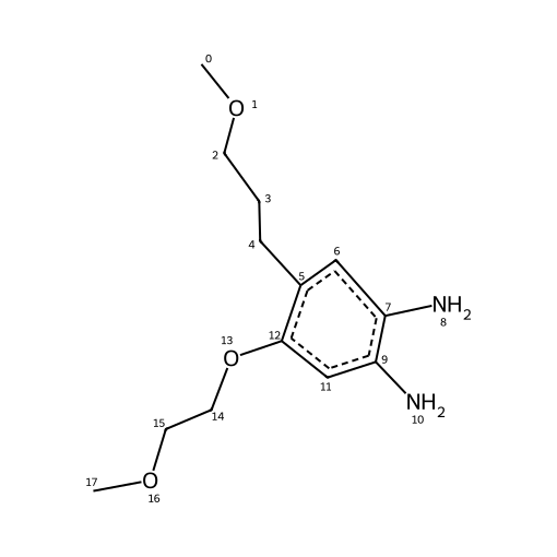 COCCCc1cc(N)c(N)cc1OCCOC